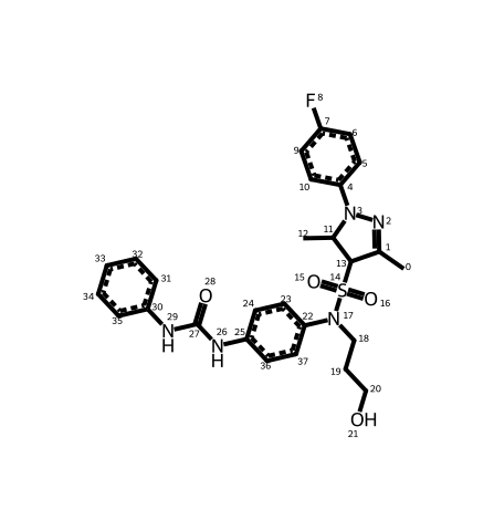 CC1=NN(c2ccc(F)cc2)C(C)C1S(=O)(=O)N(CCCO)c1ccc(NC(=O)Nc2ccccc2)cc1